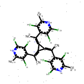 N#CC(=C1C(=C(\C#N)c2c(F)c(F)nc(C#N)c2F)/C1=C(\C#N)c1c(F)c(F)nc(C(F)(F)F)c1F)c1c(F)c(F)nc(C(F)(F)F)c1F